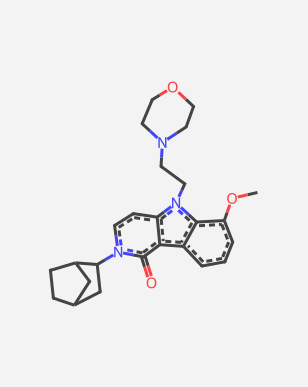 COc1cccc2c3c(=O)n(C4CC5CCC4C5)ccc3n(CCN3CCOCC3)c12